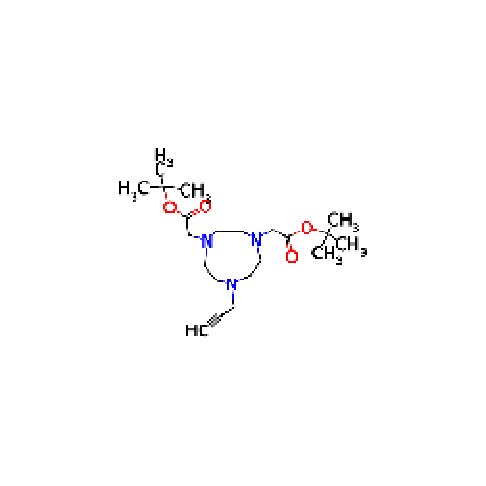 C#CCN1CCN(CC(=O)OC(C)(C)C)CCN(CC(=O)OC(C)(C)C)CC1